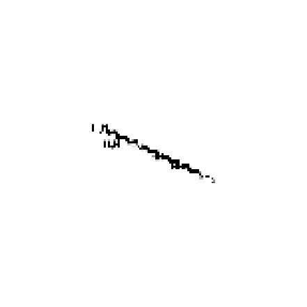 NCCCNCCCNCCCNCCCC(N)CCN